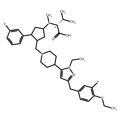 CCOc1ccc(Cc2cc(C3CCN(CC4CC(N(C)[C@@H](C(=O)O)C(C)C)CC4c4cccc(F)c4)CC3)n(CC)n2)cc1F